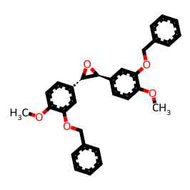 COc1ccc([C@@H]2O[C@H]2c2ccc(OC)c(OCc3ccccc3)c2)cc1OCc1ccccc1